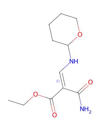 CCOC(=O)/C(=C/NC1CCCCO1)C(N)=O